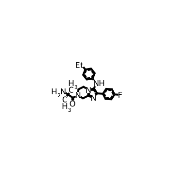 CCc1ccc(Nc2c(-c3ccc(F)cc3)nc3n2CCN(C(=O)C(C)(C)N)C3)cc1